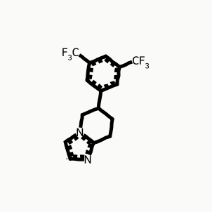 FC(F)(F)c1cc(C2CCc3n[c]cn3C2)cc(C(F)(F)F)c1